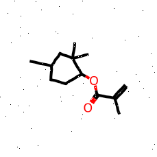 C=C(C)C(=O)OC1CCC(C)CC1(C)C